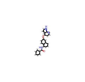 O=C(Nc1cccc2cc(Oc3ccnc4[nH]ccc34)ccc12)c1ccccc1